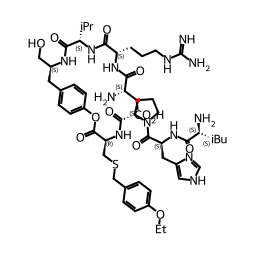 CCOc1ccc(CSC[C@H](NC(=O)[C@@H]2CCCN2C(=O)[C@H](Cc2c[nH]cn2)NC(=O)[C@@H](N)[C@@H](C)CC)C(=O)Oc2ccc(C[C@@H](CO)NC(=O)[C@@H](NC(=O)[C@H](CCCNC(=N)N)NC(=O)[C@@H](N)CC(=O)O)C(C)C)cc2)cc1